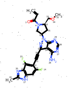 C=CC(=O)N1CC(n2nc(C#Cc3c(F)cc4[nH]c(C)nc4c3F)c3c(N)ncnc32)C[C@@H]1COC